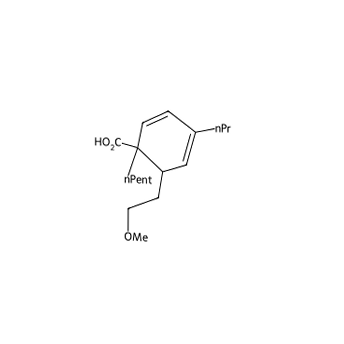 CCCCCC1(C(=O)O)C=CC(CCC)=CC1CCOC